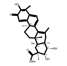 COC(=O)[C@@]1(C)C[C@@H]2[C@@](C)(CC(C)=C3C4=CC=C5C(=CC(=O)C(O)=C5C)[C@]4(C)CC[C@]32C)[C@H](O)[C@@H]1O